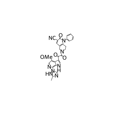 COc1cnc(N2C=NC(C)N2)c2[nH]cc(C(=O)C(=O)N3CCc4c(cc(C#N)c(=O)n4-c4ccccc4)C3)c12